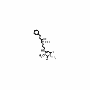 Cl.Cn1c(NCCNCC(O)CCc2ccccc2)cc(=O)n(C)c1=O